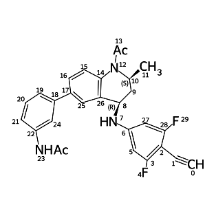 C#Cc1c(F)cc(N[C@@H]2C[C@H](C)N(C(C)=O)c3ccc(-c4cccc(NC(C)=O)c4)cc32)cc1F